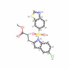 COC(=O)CCc1cc2cc(Cl)ccc2n1S(=O)(=O)c1ccc2ncsc2c1